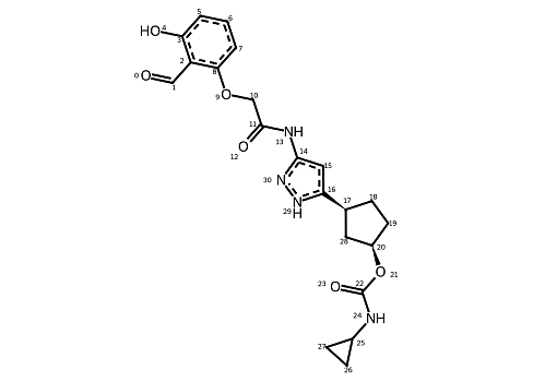 O=Cc1c(O)cccc1OCC(=O)Nc1cc([C@H]2CC[C@@H](OC(=O)NC3CC3)C2)[nH]n1